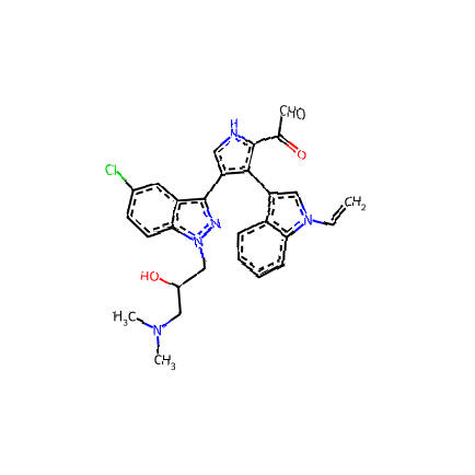 C=Cn1cc(-c2c(-c3nn(CC(O)CN(C)C)c4ccc(Cl)cc34)c[nH]c2C(=O)C=O)c2ccccc21